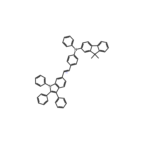 CC1(C)c2ccccc2-c2ccc(N(c3ccccc3)c3ccc(/C=C/c4ccc5c(-c6ccccc6)c(-c6ccccc6)n(-c6ccccc6)c5c4)cc3)cc21